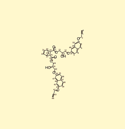 C#CCOc1ccc2ccc(OCC(O)COC(=O)C3C4C=CC(C4)C3C(=O)OCC(O)COc3ccc4ccc(OCC#C)cc4c3)cc2c1